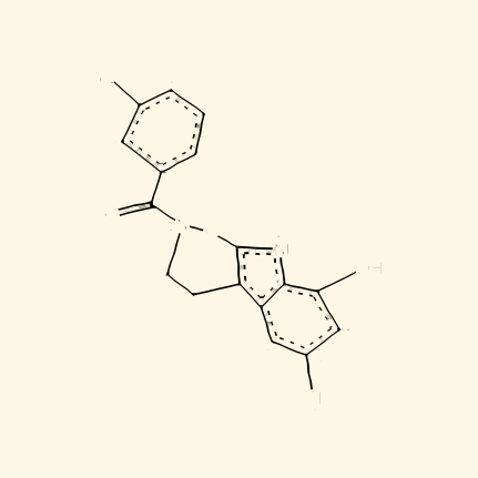 O=C(c1cccc(Cl)c1)N1CCc2c([nH]c3c(O)cc(Cl)cc23)C1